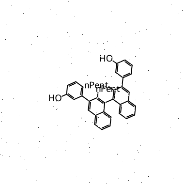 CCCCCc1c(-c2cccc(O)c2)cc2ccccc2c1-c1c(CCCCC)c(-c2cccc(O)c2)cc2ccccc12